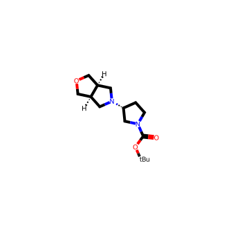 CC(C)(C)OC(=O)N1CC[C@@H](N2C[C@H]3COC[C@H]3C2)C1